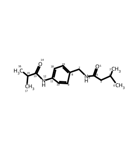 CC(C)CC(=O)NCc1ccc(NC(=O)C(C)C)cc1